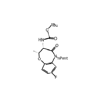 CCCCCN1C(=O)[C@@H](NC(=O)OC(C)(C)C)[C@@H](C)Oc2ccc(F)cc21